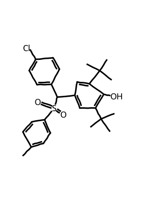 Cc1ccc(S(=O)(=O)C(c2ccc(Cl)cc2)c2cc(C(C)(C)C)c(O)c(C(C)(C)C)c2)cc1